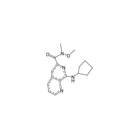 CON(C)C(=O)c1cc2cccnc2c(NC2CCCC2)n1